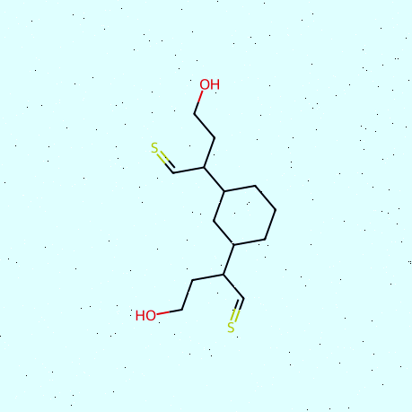 OCCC(C=S)C1CCCC(C(C=S)CCO)C1